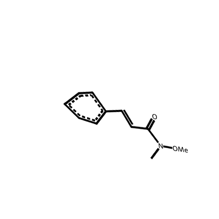 CON(C)C(=O)C=Cc1ccccc1